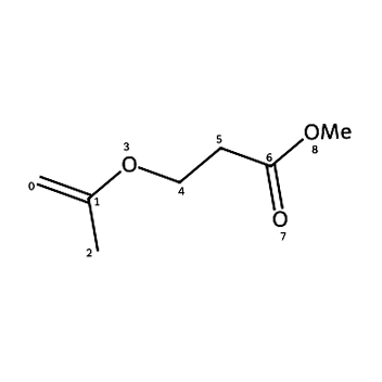 C=C(C)OCCC(=O)OC